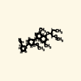 CCC(COC)Oc1cc(C)nc2c(-c3ccc(-n4cccc4C#N)cc3OC)nn(C)c12